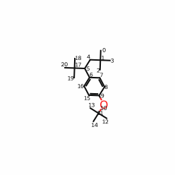 CC(C)(C)CC(c1ccc(OC(C)(C)C)cc1)C(C)(C)C